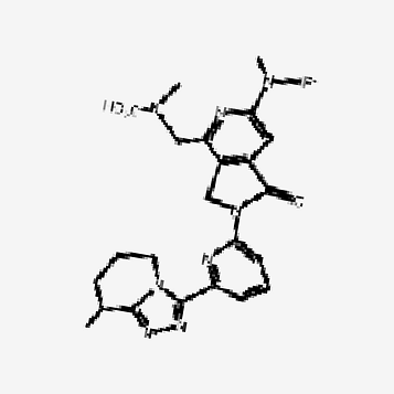 CC1CCCn2c(-c3cccc(N4Cc5c(cc(N(C)C(C)C)nc5CN(C)C(=O)O)C4=O)n3)nnc21